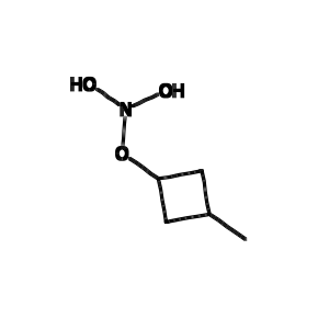 CC1CC(ON(O)O)C1